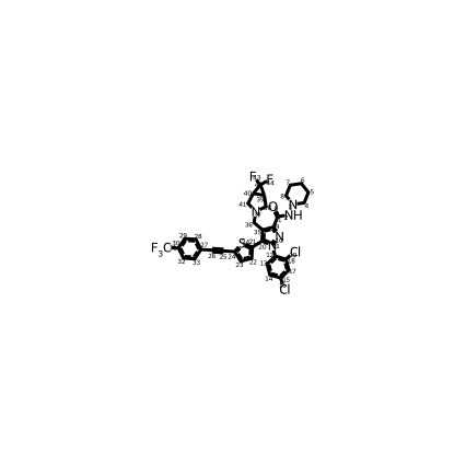 O=C(NN1CCCCC1)c1nn(-c2ccc(Cl)cc2Cl)c(-c2ccc(C#Cc3ccc(C(F)(F)F)cc3)s2)c1CN1CC2C(C1)C2(F)F